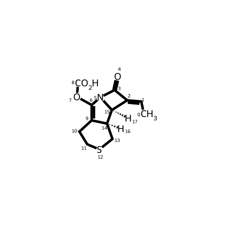 C/C=C1/C(=O)N2C(OC(=O)O)=C3CCSC[C@@H]3[C@H]12